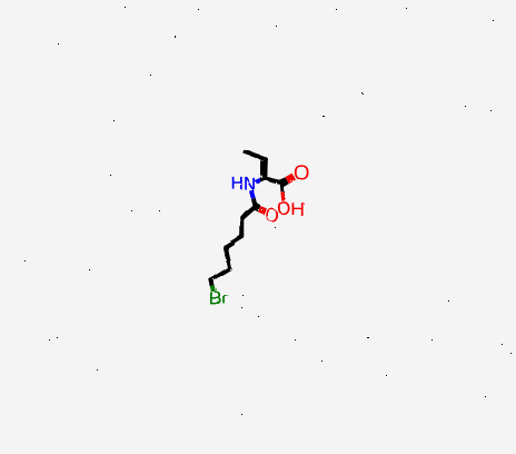 CC=C(NC(=O)CCCCCBr)C(=O)O